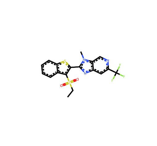 CCS(=O)(=O)c1c(-c2nc3cc(C(F)(F)F)ncc3n2C)sc2ccccc12